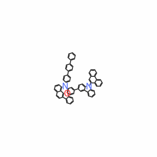 c1ccc(-c2ccc(-c3ccc(N(c4cccc(-c5ccc6c(c5)c5ccccc5n6-c5cc6ccccc6c6ccccc56)c4)c4cccc5ccc6c7ccccc7oc6c45)cc3)cc2)cc1